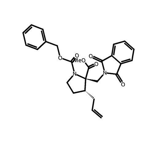 C=CC[C@@H]1CCN(C(=O)OCc2ccccc2)[C@]1(CN1C(=O)c2ccccc2C1=O)C(=O)OC